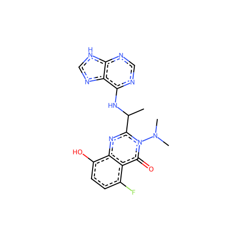 CC(Nc1ncnc2[nH]cnc12)c1nc2c(O)ccc(F)c2c(=O)n1N(C)C